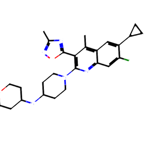 Cc1noc(-c2c(N3CCC(NC4CCOCC4)CC3)nc3cc(F)c(C4CC4)cc3c2C)n1